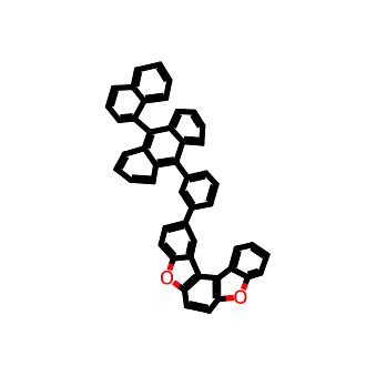 c1cc(-c2ccc3oc4ccc5oc6ccccc6c5c4c3c2)cc(-c2c3ccccc3c(-c3cccc4ccccc34)c3ccccc23)c1